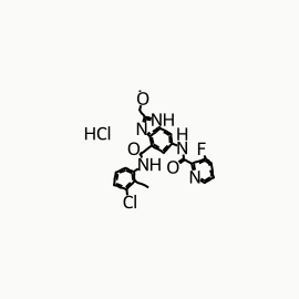 COCc1nc2c(C(=O)Nc3cccc(Cl)c3C)cc(NC(=O)c3ncccc3F)cc2[nH]1.Cl